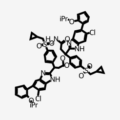 CC(C)Oc1ccccc1-c1cc2nc(C(CC(=O)OC(CC(N)=O)(c3ccc(S(=O)(=O)CC4CC4)cc3)c3nc4cc(-c5ccccc5OC(C)C)c(Cl)cc4[nH]3)c3ccc(S(=O)(=O)CC4CC4)cc3)[nH]c2cc1Cl